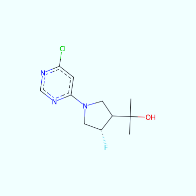 CC(C)(O)C1CN(c2cc(Cl)ncn2)C[C@H]1F